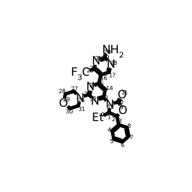 CCC1C(c2ccccc2)OC(=O)N1c1cc(-c2cnc(N)nc2C(F)(F)F)nc(N2CCOCC2)n1